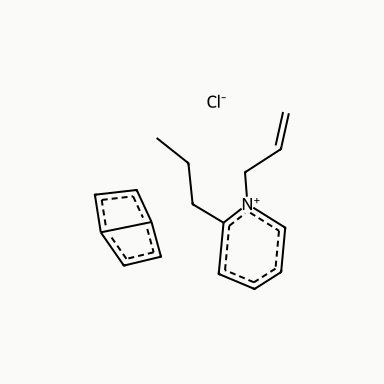 C=CC[n+]1ccccc1CCC.[Cl-].c1cc2ccc1-2